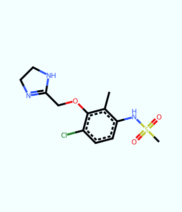 Cc1c(NS(C)(=O)=O)ccc(Cl)c1OCC1=NCCN1